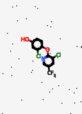 Oc1ccc(Oc2ncc(C(F)(F)F)cc2Cl)c(Cl)c1